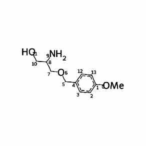 COc1ccc(COCC(N)CO)cc1